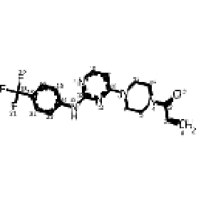 C=CC(=O)N1CCN(c2ccnc(Nc3ccc(C(F)(F)F)cc3)n2)CC1